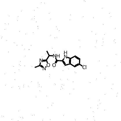 Cc1noc(C(C)NC(=O)c2cc3cc(Cl)ccc3[nH]2)n1